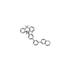 CC1(C)c2ccccc2-n2c3ccc(-c4cccc(-c5ccc6c(c5)C=CCC6)c4)cc3c3cccc1c32